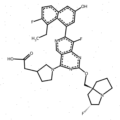 CCc1c(F)ccc2cc(O)cc(-c3ncc4c(N5CCC(CC(=O)O)C5)nc(OC[C@@]56CCCN5C[C@H](F)C6)nc4c3F)c12